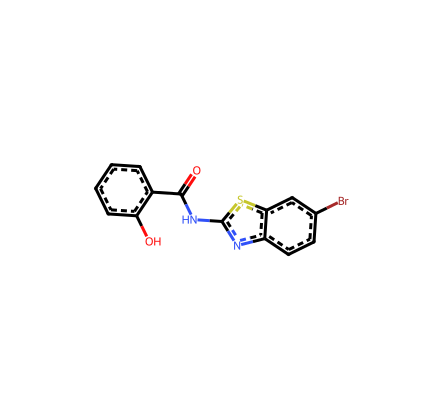 O=C(Nc1nc2ccc(Br)cc2s1)c1ccccc1O